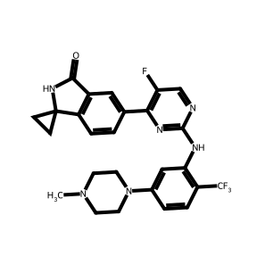 CN1CCN(c2ccc(C(F)(F)F)c(Nc3ncc(F)c(-c4ccc5c(c4)C(=O)NC54CC4)n3)c2)CC1